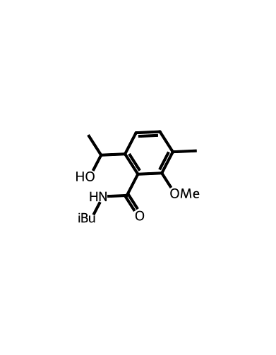 CCC(C)NC(=O)c1c(C(C)O)ccc(C)c1OC